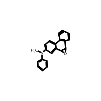 CN(c1ccccc1)c1ccc2c(c1)C1OC1c1ccc#cc1-2